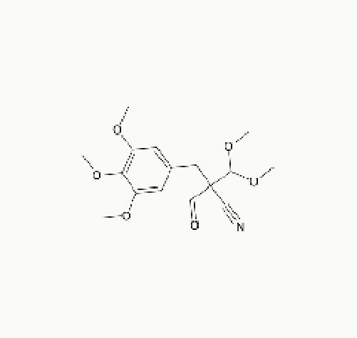 COc1cc(CC(C#N)(C=O)C(OC)OC)cc(OC)c1OC